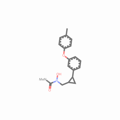 CNC(=O)N(O)CC1CC1c1cccc(Oc2ccc(C)cc2)c1